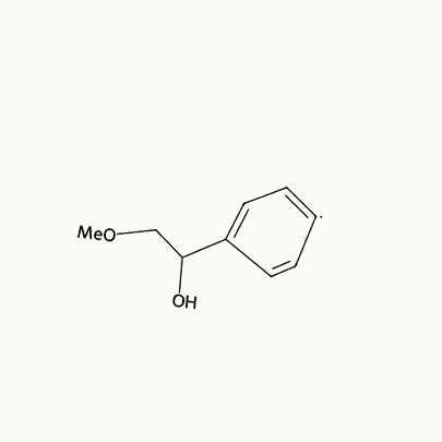 COCC(O)c1cc[c]cc1